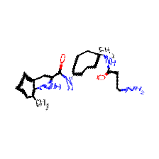 Cc1cccc2c1NC(C(=O)N[C@H]1CC[C@](C)(NC(=O)CCN)CC1)C2